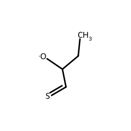 CCC([O])C=S